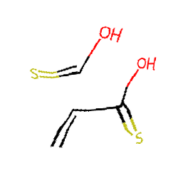 C=CC(O)=S.OC=S